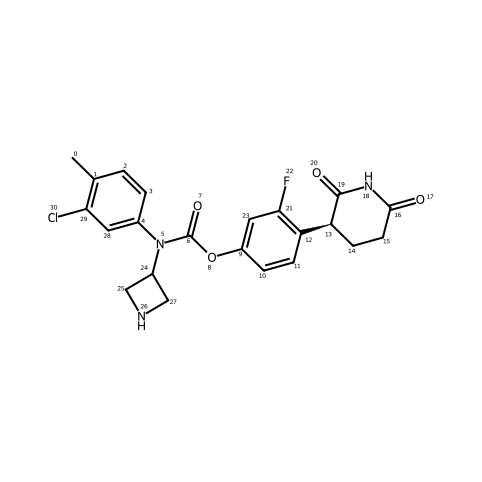 Cc1ccc(N(C(=O)Oc2ccc([C@@H]3CCC(=O)NC3=O)c(F)c2)C2CNC2)cc1Cl